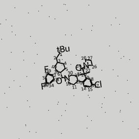 CC(C)(C)CCC1CC[C@@H](C(=O)N2CCC(c3ccc(Cl)cc3C(C)(C)C(=O)N3CCC3)CC2)[C@H](c2ccc(F)cc2F)C1